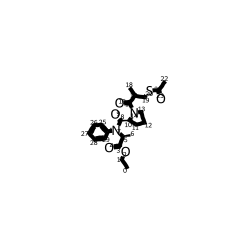 CCOC(=O)[C@H](C)N(C(=O)[C@@H]1CCCN1C(=O)C(C)CSC(C)=O)c1ccccc1